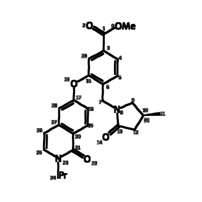 COC(=O)c1ccc(CN2C[C@@H](C)CC2=O)c(Oc2ccc3c(=O)n(C(C)C)ccc3c2)c1